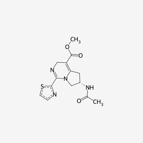 COC(=O)C1=C2C[C@H](NC(C)=O)CN2C(c2nccs2)=NC1